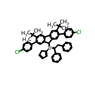 CC(C)(C)c1cc2c(cc1-c1ccc(Cl)cc1)[CH]([Zr]([C]1=CC=CC1)=[C](Cc1ccccc1)c1ccccc1)c1cc(-c3ccc(Cl)cc3)c(C(C)(C)C)cc1-2